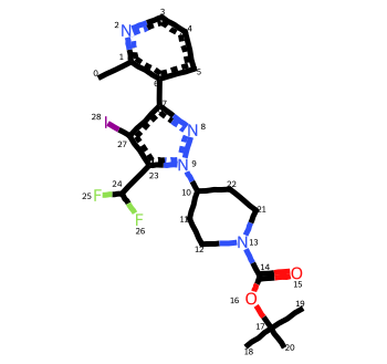 Cc1ncccc1-c1nn(C2CCN(C(=O)OC(C)(C)C)CC2)c(C(F)F)c1I